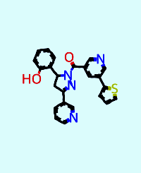 O=C(c1cncc(-c2cccs2)c1)N1N=C(c2cccnc2)CC1c1ccccc1O